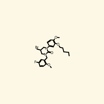 CCCCCOc1cc(N2CC(CBr)CN(Cc3cc(F)ccc3OC)C2=O)ccc1OC